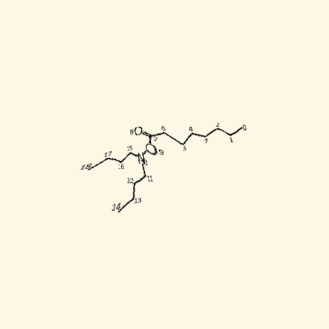 CCCCCCCC(=O)ON(CCCC)CCCC